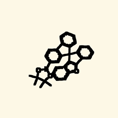 CC1(C)OB(c2ccc3c(c2)C2(c4ccccc4-3)c3ccccc3-c3oc4ccccc4c32)OC1(C)C